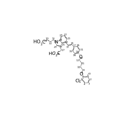 Cc1cccc(Cl)c1OCCCCOc1ccc(C=Cc2cccc3c2c(CC(=O)O)cn3CCCC(=O)O)cc1